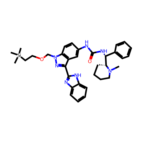 CN1CCCC[C@@H]1[C@H](NC(=O)Nc1ccc2c(c1)c(-c1nc3ccccc3[nH]1)nn2COCC[Si](C)(C)C)c1ccccc1